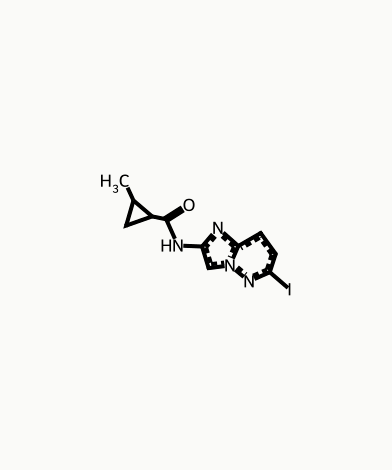 CC1CC1C(=O)Nc1cn2nc(I)ccc2n1